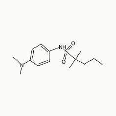 CCCC(C)(C)S(=O)(=O)Nc1ccc(N(C)C)cc1